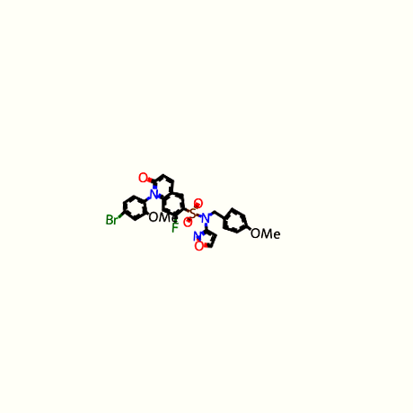 COc1ccc(CN(c2ccon2)S(=O)(=O)c2cc3ccc(=O)n(-c4ccc(Br)cc4OC)c3cc2F)cc1